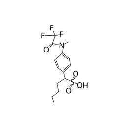 CCCCC(c1ccc(N(C)C(=O)C(F)(F)F)cc1)S(=O)(=O)O